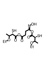 CCOC(C)[C@H](S)C(=O)OC(=O)CC/C(=N/O)OC(=O)[C@@H](S)C(C)OCC